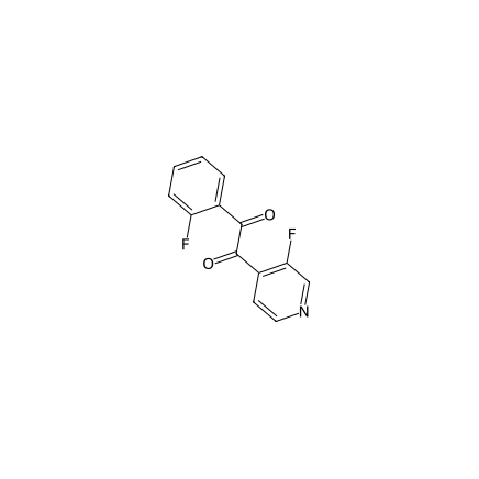 O=C(C(=O)c1ccncc1F)c1ccccc1F